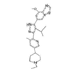 CCN1CCC(c2cnc(-c3n[nH]c(-c4cc(OC)c5ncnn5c4)c3C(C)C)c(C)c2)CC1